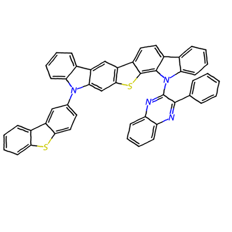 c1ccc(-c2nc3ccccc3nc2-n2c3ccccc3c3ccc4c5cc6c7ccccc7n(-c7ccc8sc9ccccc9c8c7)c6cc5sc4c32)cc1